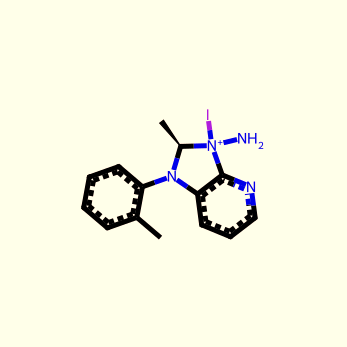 Cc1ccccc1N1c2cccnc2[N+](N)(I)[C@@H]1C